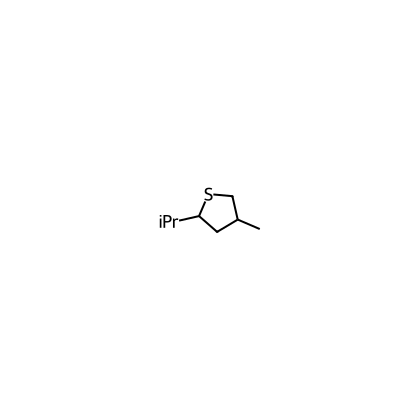 CC1CSC(C(C)C)C1